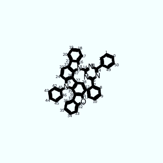 c1ccc(-c2nc(-c3ccccc3)nc(-n3c4ccccc4c4ccc5c(c6ccc7oc8ccccc8c7c6n5-c5ccccc5)c43)n2)cc1